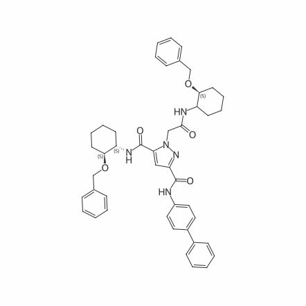 O=C(Cn1nc(C(=O)Nc2ccc(-c3ccccc3)cc2)cc1C(=O)N[C@H]1CCCC[C@@H]1OCc1ccccc1)NC1CCCC[C@@H]1OCc1ccccc1